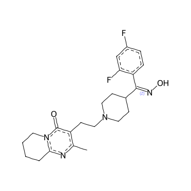 Cc1nc2n(c(=O)c1CCN1CCC(/C(=N/O)c3ccc(F)cc3F)CC1)CCCC2